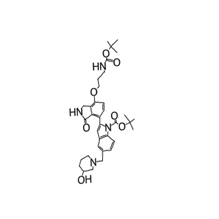 CC(C)(C)OC(=O)NCCCOc1ccc(-c2cc3cc(CN4CCCC(O)C4)ccc3n2C(=O)OC(C)(C)C)c2c1CNC2=O